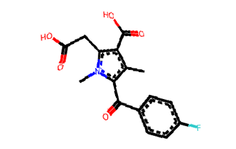 Cc1c(C(=O)O)c(CC(=O)O)n(C)c1C(=O)c1ccc(F)cc1